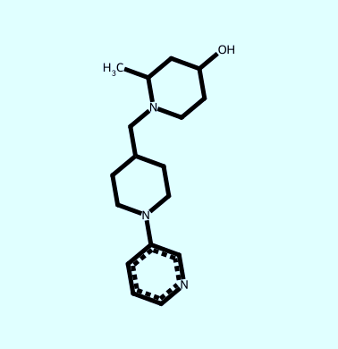 CC1CC(O)CCN1CC1CCN(c2cccnc2)CC1